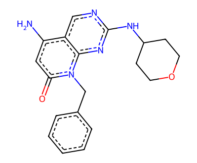 Nc1cc(=O)n(Cc2ccccc2)c2nc(NC3CCOCC3)ncc12